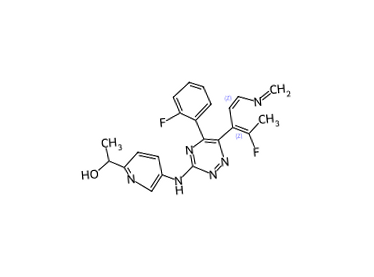 C=N/C=C\C(=C(/C)F)c1nnc(Nc2ccc(C(C)O)nc2)nc1-c1ccccc1F